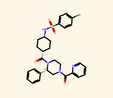 O=C(c1ccccn1)N1CCN(C(=O)[C@H]2CC[C@H](NS(=O)(=O)c3ccc(Br)cc3)CC2)[C@@H](c2ccccc2)C1